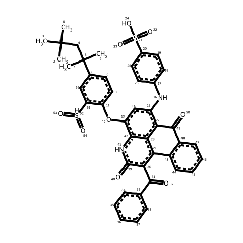 CC(C)(C)CC(C)(C)c1ccc(Oc2cc(Nc3ccc(S(=O)(=O)O)cc3)c3c4c(c(C(=O)c5ccccc5)c(=O)[nH]c24)-c2ccccc2C3=O)c([SH](=O)=O)c1